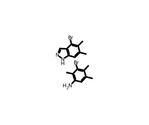 Cc1cc(N)c(C)c(Br)c1C.Cc1cc2[nH]ncc2c(Br)c1C